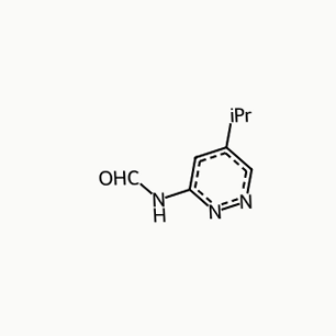 CC(C)c1cnnc(NC=O)c1